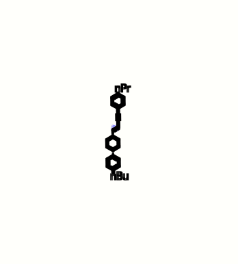 CCCCc1ccc([C@H]2CC[C@H](/C=C/C#Cc3ccc(CCC)cc3)CC2)cc1